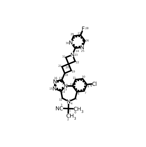 CC(C)(C#N)N1Cc2cc(Cl)ccc2-n2c(nnc2C2CC3(C2)CN(c2ncc(F)cn2)C3)C1